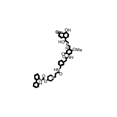 COc1cc(NC(=O)Cc2cccc(CNC(=O)CCN3CCC(OC(=O)Nc4ccccc4-c4ccccc4)CC3)c2)c(Cl)cc1CNC[C@H](O)c1ccc(O)c2[nH]c(=O)ccc12